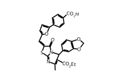 CCOC(=O)C1=C(C)N=c2s/c(=C/c3ccc(-c4ccc(C(=O)O)cc4)o3)c(=O)n2C1c1ccc2c(c1)OCO2